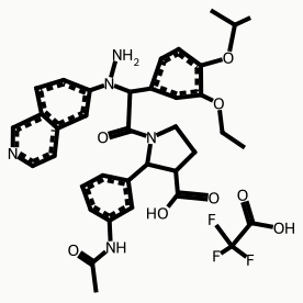 CCOc1cc(C(C(=O)N2CCC(C(=O)O)C2c2cccc(NC(C)=O)c2)N(N)c2ccc3cnccc3c2)ccc1OC(C)C.O=C(O)C(F)(F)F